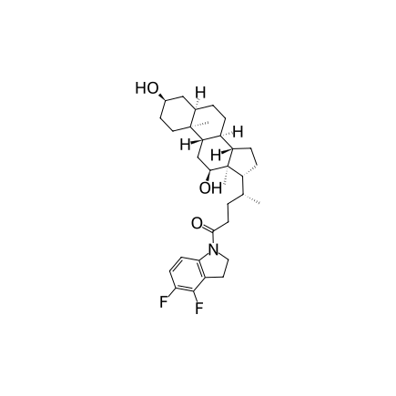 C[C@H](CCC(=O)N1CCc2c1ccc(F)c2F)[C@H]1CC[C@H]2[C@@H]3CC[C@@H]4C[C@H](O)CC[C@]4(C)[C@H]3C[C@H](O)[C@]12C